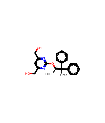 COC(c1ccccc1)(c1ccccc1)[C@H](Oc1nc(CO)cc(CO)n1)C(=O)O